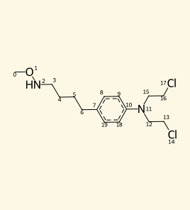 CONCCCCc1ccc(N(CCCl)CCCl)cc1